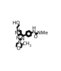 CNC(=O)Nc1ccc(-c2nc(N3CCOC[C@@H]3C)nc3nn(CCO)cc23)cc1